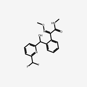 CNC(=O)C(=NOC)c1ccccc1C(O)c1cccc(C(F)F)n1